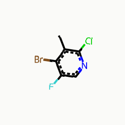 Cc1c(Cl)ncc(F)c1Br